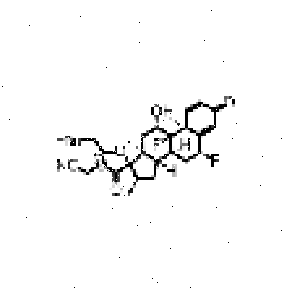 C[C@@H]1C[C@H]2[C@@H]3C[C@H](F)C4=CC(=O)C=C[C@]4(C)C3(F)[C@@H](O)C[C@]2(C)[C@@]1(OC(=O)CC(C)(C)C)C(=O)OCC#N